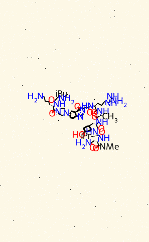 CC[C@H](C)[C@H](N)C(=O)N[C@@H](CCCCN)C(=O)N1CCN(c2ccc3ncn(CC(=O)N[C@@H](CCCNC(=N)N)C(=O)N[C@@H](C)C(=O)N[C@@H](Cc4ccc(O)cc4)C(=O)N[C@@H](CC(C)C)C(=O)N[C@@H](CC(N)=O)C(=O)NC)c(=O)c3c2)CC1